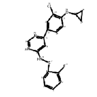 Fc1ccccc1SNc1cc(-c2ccc(OC3CC3)c(Cl)c2)ncn1